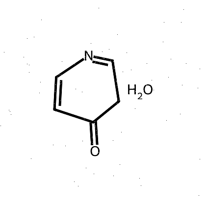 O.O=C1C=CN=CC1